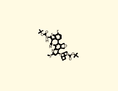 CSc1cc(N2C3CCC34C2CN4C(=O)OC(C)(C)C)c2c3c(c(-c4ccc(F)c5sc(NC(=O)OC(C)(C)C)c(C#N)c45)c(F)c2n1)COC3